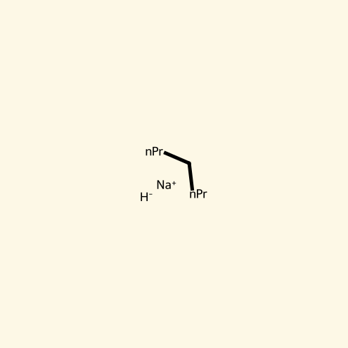 CCCCCCC.[H-].[Na+]